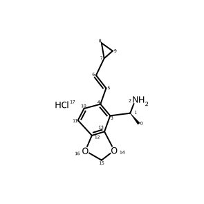 C[C@H](N)c1c(/C=C/C2CC2)ccc2c1OCO2.Cl